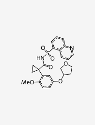 COc1ccc(OC2CCOC2)cc1C1(C(=O)NS(=O)(=O)c2cccc3ncccc23)CC1